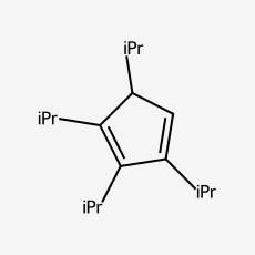 CC(C)C1=CC(C(C)C)C(C(C)C)=C1C(C)C